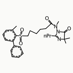 CCCC1=NC(C)(C)C(=O)N1N(C)C(=O)CCCCCS(=O)(=O)c1c(C)cccc1-c1ccccc1